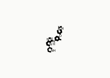 Cc1cc(Nc2ncnc3ccc([C@@H]4CCCNC4)nc23)ccc1Oc1ccn2ncnc2c1